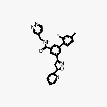 Cc1ccc(-c2cc(C(=O)NCc3ccnnc3)cc(C3=NOC(c4ccccn4)C3)c2)c(F)c1